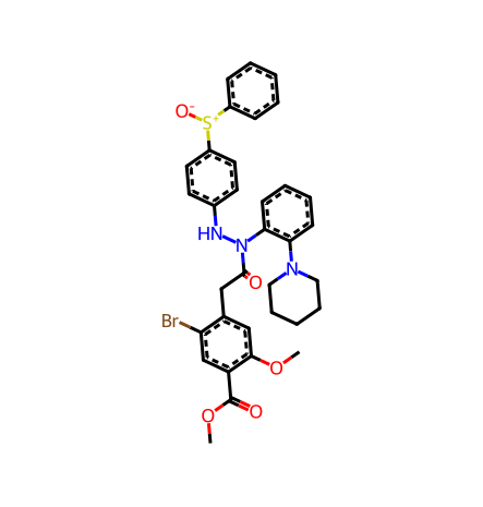 COC(=O)c1cc(Br)c(CC(=O)N(Nc2ccc([S+]([O-])c3ccccc3)cc2)c2ccccc2N2CCCCC2)cc1OC